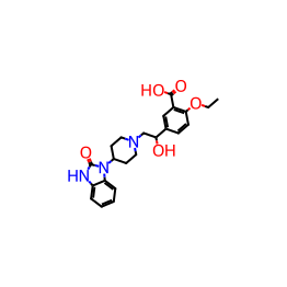 CCOc1ccc(C(O)CN2CCC(n3c(=O)[nH]c4ccccc43)CC2)cc1C(=O)O